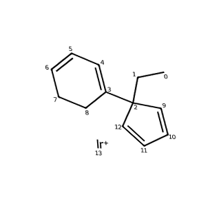 CCC1(C2=CC=CCC2)C=CC=C1.[Ir+]